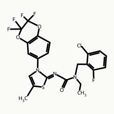 CCN(Cc1c(F)cccc1Cl)C(=O)N=c1sc(C)cn1-c1ccc2c(c1)OC(F)(F)C(F)(F)O2